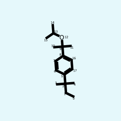 CCC(C)(C)c1ccc(C(C)(C)OC(C)C)cc1